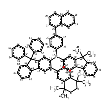 CC1(C)CCC(C)(C)c2cc(-c3cc4c(cc3N(c3ccc(-c5cccc6ccccc56)cc3)c3ccc5c(c3)C(C)(C)c3ccccc3-5)C(c3ccccc3)(c3ccccc3)c3ccccc3-4)ccc21